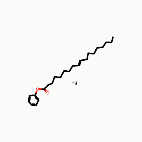 CCCCCCCCC=CCCCCCCCC(=O)Oc1ccccc1.[Hg]